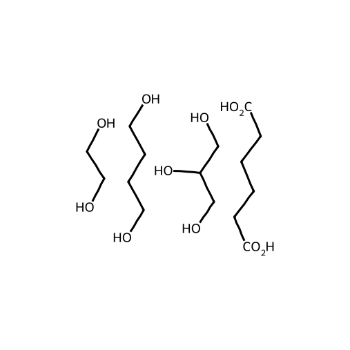 O=C(O)CCCCC(=O)O.OCC(O)CO.OCCCCO.OCCO